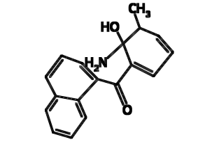 CC1C=CC=C(C(=O)c2cccc3ccccc23)C1(N)O